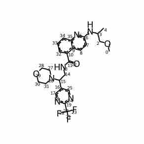 COCC(C)Nc1ccc2c(C(=O)NCC(c3cnc(C(F)(F)F)nc3)N3CCOCC3)cccc2n1